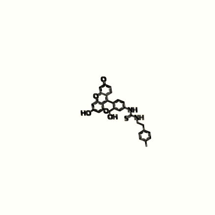 Cc1ccc(CCNC(=S)Nc2ccc(-c3c4ccc(=O)cc-4oc4cc(O)ccc34)c(C(=O)O)c2)cc1